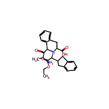 CCOC(=O)C(C1Cc2ccccc2C1)N1C(C(=O)O)Cc2ccccc2C1C(=O)C(C)N